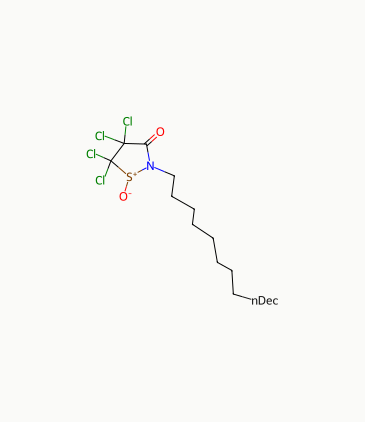 CCCCCCCCCCCCCCCCCCN1C(=O)C(Cl)(Cl)C(Cl)(Cl)[S+]1[O-]